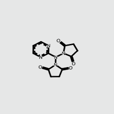 O=C1CCC(=O)N1N(c1ncccn1)N1C(=O)CCC1=O